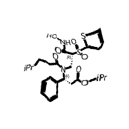 CC(C)CCC(=O)N(C[C@H](C(=O)NO)S(=O)(=O)c1cccs1)[C@H](CC(=O)OC(C)C)c1ccccc1